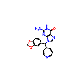 Nc1nc2c(ncn2C(c2ccc3c(c2)OCO3)C2C=CC=NC=C2)c(=O)[nH]1